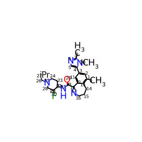 Cc1cc(-c2cnc(C)n2C)cc2c1CCCN=C2C(=O)N[C@H]1CCN(CC(C)C)C[C@@H]1F